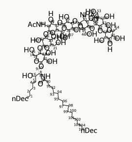 CCCCCCCCCCCCC/C=C/[C@@H](O)[C@H](CO[C@@H]1OC(CO)[C@@H](O[C@@H]2OC(CO)[C@H](O)[C@H](O[C@@H]3OC(CO)[C@@H](O[C@@H]4OC(CO)[C@H](O)[C@H](O[C@@H]5OC(CO)[C@@H](O[C@@H]6OC(CO)[C@H](O)[C@H](O)C6O[C@H]6OC(C)[C@@H](O)C(O)[C@@H]6O)[C@H](O)C5NC(C)=O)C4O)[C@H](O)C3NC(C)=O)C2O)[C@H](O)C1O)NC(=O)CCCCCCCCCCCCCCCCCCCCCCCCC